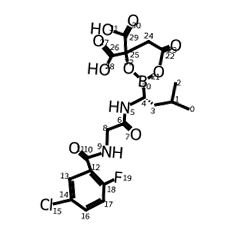 CC(C)C[C@H](NC(=O)CNC(=O)c1cc(Cl)ccc1F)B1OC(=O)CC(C(=O)O)(C(=O)O)O1